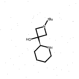 CC(C)(C)N1CC(O)([C@@H]2CCCCN2)C1